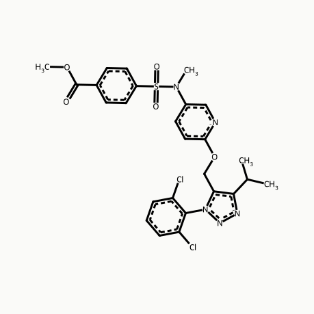 COC(=O)c1ccc(S(=O)(=O)N(C)c2ccc(OCc3c(C(C)C)nnn3-c3c(Cl)cccc3Cl)nc2)cc1